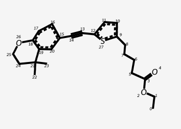 CCOC(=O)CCCCc1ccc(C#Cc2ccc3c(c2)C(C)(C)CCO3)s1